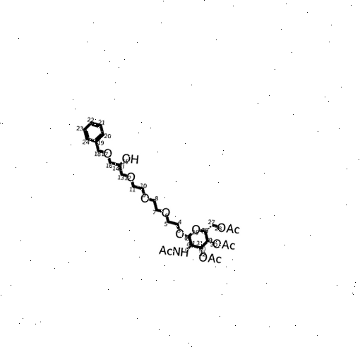 CC(=O)N[C@H]1[C@H](OCCOCCOCCOC[C@H](O)COCc2ccccc2)O[C@H](COC(C)=O)[C@H](OC(C)=O)[C@@H]1OC(C)=O